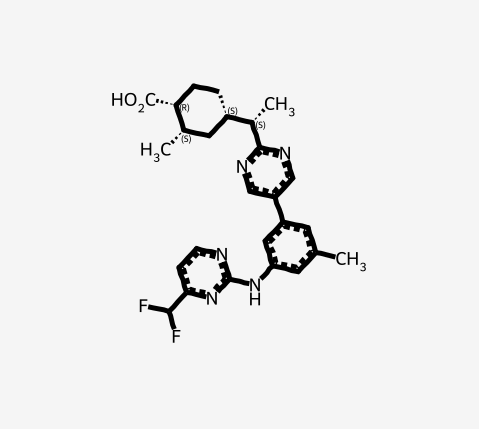 Cc1cc(Nc2nccc(C(F)F)n2)cc(-c2cnc([C@@H](C)[C@H]3CC[C@@H](C(=O)O)[C@@H](C)C3)nc2)c1